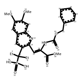 CCC(CC)(c1cc2cc(OC)c(OC)cc2nc1/C=C(\NC(=O)OCc1ccccc1)C(=O)OC)P(=O)(O)O